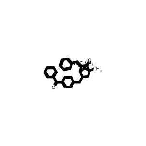 CC12CC(Cc3ccc(C(=O)c4ccccc4)cc3)C(C(=Cc3ccccc3)C1=O)C2(C)C